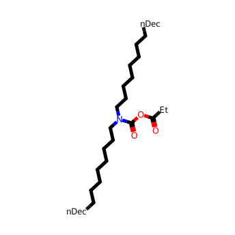 CCCCCCCCCCCCCCCCCCN(CCCCCCCCCCCCCCCCCC)C(=O)OC(=O)CC